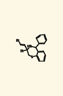 CCC=CC1(CC)CSc2ccccc2C(c2ccccc2)N1